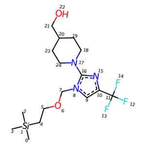 C[Si](C)(C)CCOCn1cc(C(F)(F)F)nc1N1CCC(CO)CC1